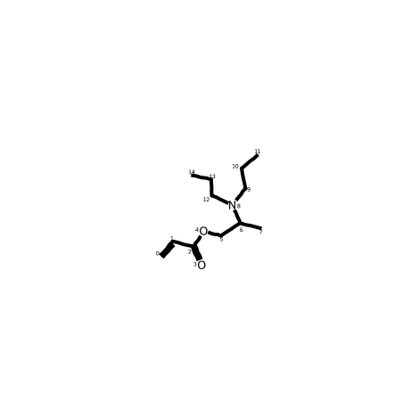 C=CC(=O)OCC(C)N(CCC)CCC